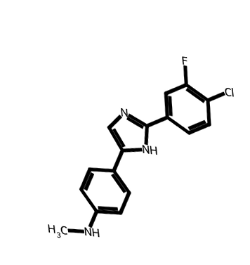 CNc1ccc(-c2cnc(-c3ccc(Cl)c(F)c3)[nH]2)cc1